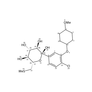 COC1CCC(Oc2cc([C@]3(O)O[C@H](CSC)[C@@H](O)[C@H](O)[C@H]3O)ccc2Cl)CC1